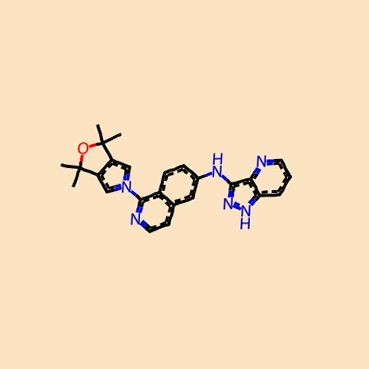 CC1(C)OC(C)(C)c2cn(-c3nccc4cc(Nc5n[nH]c6cccnc56)ccc34)cc21